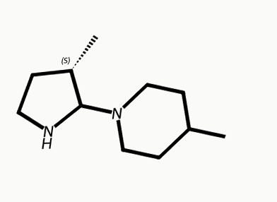 CC1CCN(C2NCC[C@@H]2C)CC1